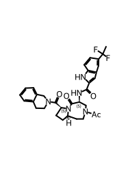 CC(=O)N1CC[C@H]2CC[C@@H](C(=O)N3CCc4ccccc4C3)N2C(=O)[C@@H](NC(=O)c2cc3cc(C(C)(F)F)ccc3[nH]2)C1